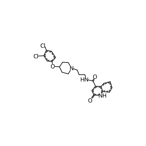 O=C(NCCCN1CCC(Oc2ccc(Cl)c(Cl)c2)CC1)c1cc(=O)[nH]c2ccccc12